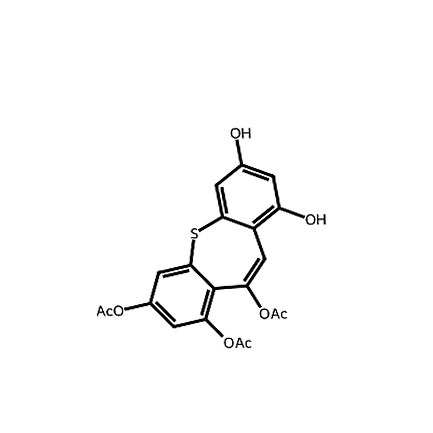 CC(=O)OC1=Cc2c(O)cc(O)cc2Sc2cc(OC(C)=O)cc(OC(C)=O)c21